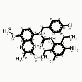 CCc1c(N)cc(Cl)c(CC)c1NC(=O)N(Cc1ccc(Cl)cc1)c1ccc(OC)c2nc(C)c(C)nc12